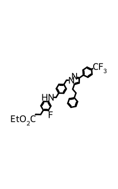 CCOC(=O)CCc1ccc(NCc2ccc(Cn3nc(-c4ccc(C(F)(F)F)cc4)cc3CCc3ccccc3)cc2)cc1F